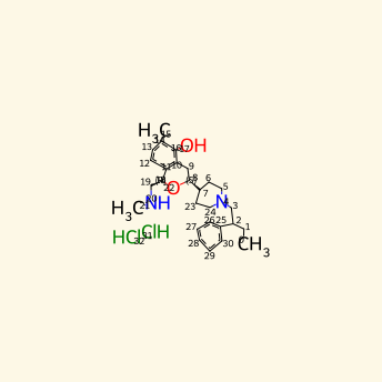 CCC(CN1CCC([C@@H]2Cc3c(ccc(C)c3O)[C@H](CNC)O2)CC1)c1ccccc1.Cl.Cl